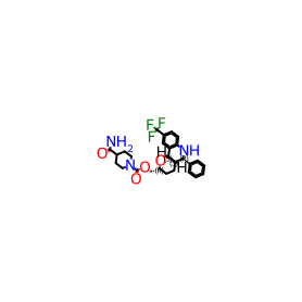 NC(=O)C1CCN(C(=O)OC[C@H]2CC[C@@H]3[C@H](O2)c2cc(C(F)(F)F)ccc2N[C@H]3c2ccccc2)CC1